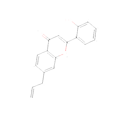 C=CCc1ccc2c(=O)cc(-c3ccccc3O)oc2c1